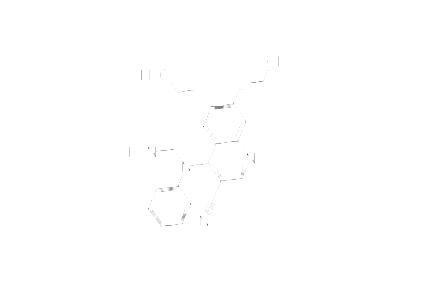 CCOc1cc2ncc(C#N)c(N(CN)c3ccccc3)c2cc1OCC